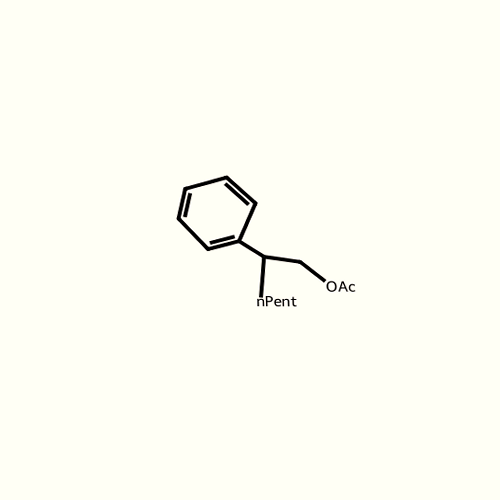 CCCCCC(COC(C)=O)c1ccccc1